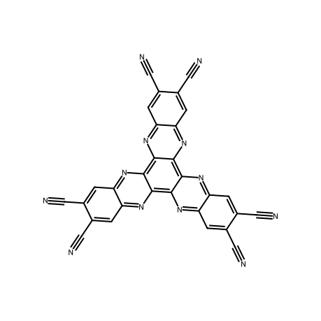 N#Cc1cc2nc3c4nc5cc(C#N)c(C#N)cc5nc4c4nc5cc(C#N)c(C#N)cc5nc4c3nc2cc1C#N